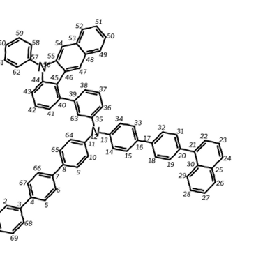 c1ccc(-c2ccc(-c3ccc(N(c4ccc(-c5ccc(-c6cccc7ccccc67)cc5)cc4)c4cccc(-c5cccc6c5c5cc7ccccc7cc5n6-c5ccccc5)c4)cc3)cc2)cc1